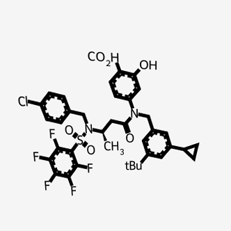 C[C@H](CC(=O)N(Cc1cc(C2CC2)cc(C(C)(C)C)c1)c1ccc(C(=O)O)c(O)c1)N(Cc1ccc(Cl)cc1)S(=O)(=O)c1c(F)c(F)c(F)c(F)c1F